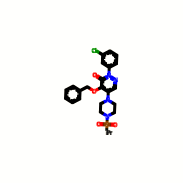 CC(C)S(=O)(=O)N1CCN(c2cnn(-c3cccc(Cl)c3)c(=O)c2OCc2ccccc2)CC1